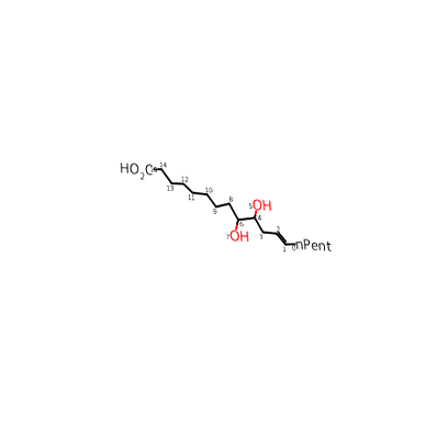 CCCCC/C=C/CC(O)C(O)CCCCCCCC(=O)O